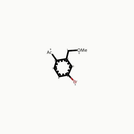 COCc1cc(Br)ccc1C(C)=O